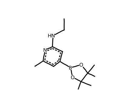 CCNc1cc(B2OC(C)(C)C(C)(C)O2)cc(C)n1